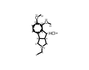 CCN1CC2Cc3c(ccc(OC)c3OC)C2C1.Cl